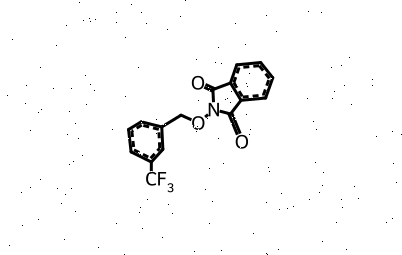 O=C1c2ccccc2C(=O)N1OCc1cccc(C(F)(F)F)c1